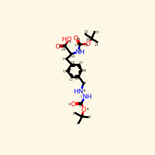 CC(C)(C)OC(=O)NNCc1ccc(CC(NC(=O)OC(C)(C)C)C(=O)O)cc1